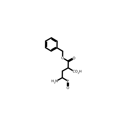 NC(CC(C(=O)O)C(=O)OCc1ccccc1)P=O